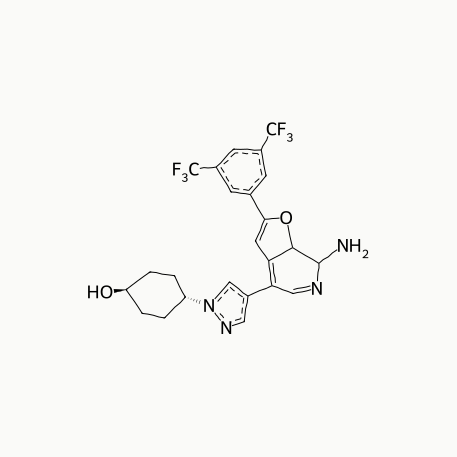 NC1N=CC(c2cnn([C@H]3CC[C@H](O)CC3)c2)=C2C=C(c3cc(C(F)(F)F)cc(C(F)(F)F)c3)OC21